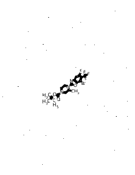 CC1CN(C(=O)OC(C)(C)C)CCN1c1nc2cc(F)c(C(F)(F)F)c(Br)c2o1